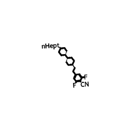 CCCCCCC[C@H]1CC[C@H]([C@H]2CC[C@H](CCc3cc(F)c(C#N)c(F)c3)CC2)CC1